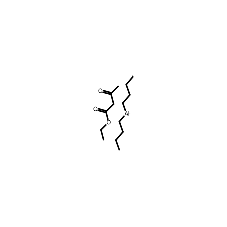 CCC[CH2][Al][CH2]CCC.CCOC(=O)CC(C)=O